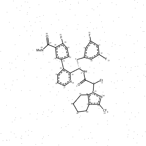 CCC(C(=O)N[C@@H](Cc1cc(F)cc(F)c1)c1ncccc1-c1ccc(F)c(C(=O)NC)c1)n1nc(C(F)(F)F)c2c1CCCC2